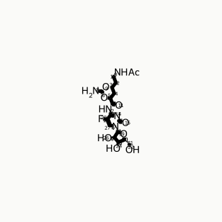 CC(=O)NCCCCC(OC(N)=O)C(=O)Nc1nc(=O)n([C@@H]2O[C@H](CO)[C@@H](O)[C@H]2O)cc1F